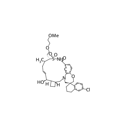 COCCOCC[C@H]1C(C)C/C=C/[C@H](O)[C@@H]2CC[C@H]2CN2C[C@@]3(CCCc4cc(Cl)ccc43)COc3ccc(cc32)C(=O)NS1(=O)=O